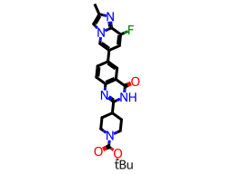 Cc1cn2cc(-c3ccc4nc(C5CCN(C(=O)OC(C)(C)C)CC5)[nH]c(=O)c4c3)cc(F)c2n1